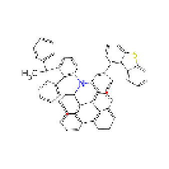 CC1(c2ccccc2)c2ccccc2-c2c(N(c3cccc(-c4cccc5sc6ccccc6c45)c3)c3ccccc3-c3cccc4cccc(-c5ccccc5)c34)cccc21